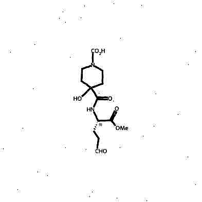 COC(=O)[C@H](CCC=O)NC(=O)C1(O)CCN(C(=O)O)CC1